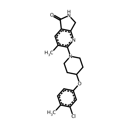 Cc1ccc(OC2CCN(c3nc4c(cc3C)C(=O)NC4)CC2)cc1Cl